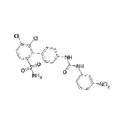 NS(=O)(=O)c1ccc(Cl)c(Cl)c1-c1ccc(NC(=O)Nc2cccc([N+](=O)[O-])c2)cc1